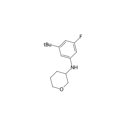 CC(C)(C)c1cc(F)cc(NC2CCCOC2)c1